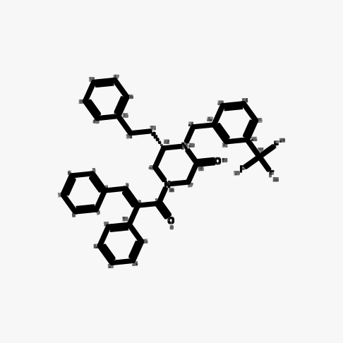 O=C(/C(=C/c1ccccc1)c1ccccc1)N1CC(=O)N(Cc2cccc(C(F)(F)F)c2)[C@@H](CCc2ccccc2)C1